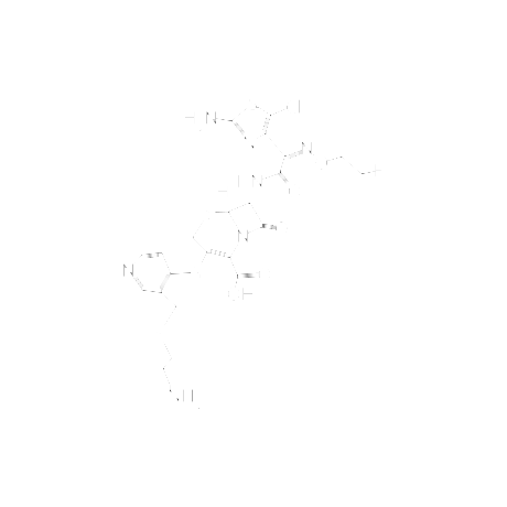 NCCSCc1cnccc1SC1=C(C(=O)O)N2C(=O)[C@@H](NC(=O)/C(=N\OCCF)c3nc(N)sc3Cl)[C@@H]2SC1